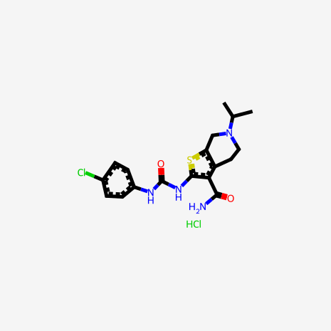 CC(C)N1CCc2c(sc(NC(=O)Nc3ccc(Cl)cc3)c2C(N)=O)C1.Cl